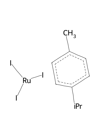 Cc1ccc(C(C)C)cc1.[I][Ru]([I])[I]